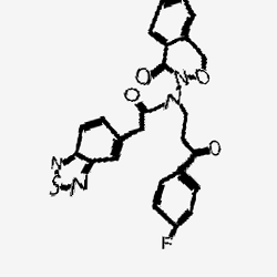 O=C(CCN(C(=O)Cc1ccc2nsnc2c1)N1OCc2ccccc2C1=O)c1ccc(F)cc1